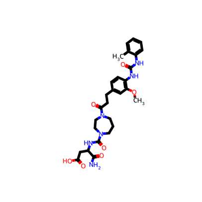 COc1cc(CCC(=O)N2CCCN(C(=O)NC(CC(=O)O)C(N)=O)CC2)ccc1NC(=O)Nc1ccccc1C